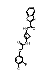 O=C(COc1ccc(Cl)c(F)c1)NC12CC(NC(=O)c3nc4ccccc4s3)(C1)C2